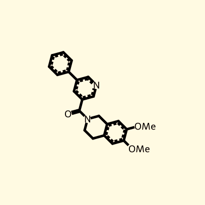 COc1cc2c(cc1OC)CN(C(=O)c1cncc(-c3ccccc3)c1)CC2